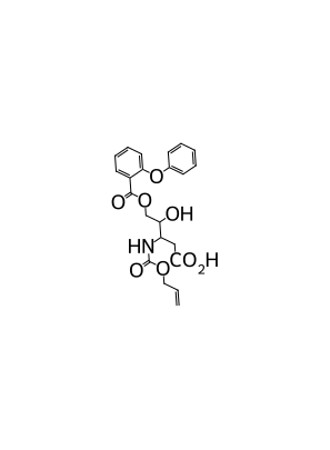 C=CCOC(=O)NC(CC(=O)O)C(O)COC(=O)c1ccccc1Oc1ccccc1